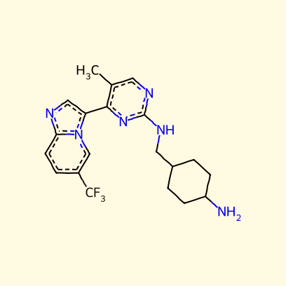 Cc1cnc(NCC2CCC(N)CC2)nc1-c1cnc2ccc(C(F)(F)F)cn12